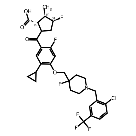 C[C@H]1[C@@H](F)CC(C(=O)c2cc(C3CC3)c(OCC3(F)CCN(Cc4cc(C(F)(F)F)ccc4Cl)CC3)cc2F)[C@@H]1C(=O)O